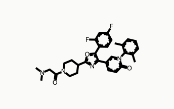 Cc1cccc(C)c1-n1cc(-c2nc(C3CCN(C(=O)CN(C)C)CC3)oc2-c2ccc(F)cc2F)ccc1=O